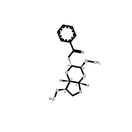 CO[C@H]1O[C@@H]2OC[C@@H](OC)[C@@H]2O[C@@H]1CC(=O)c1ccccc1